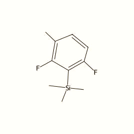 Cc1ccc(F)c([Si](C)(C)C)c1F